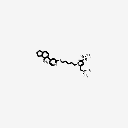 CN(C)Cc1cc(S(N)(=O)=O)nn1CCCCCOc1cc(-c2ccc3c(c2N)CCC3)ccn1